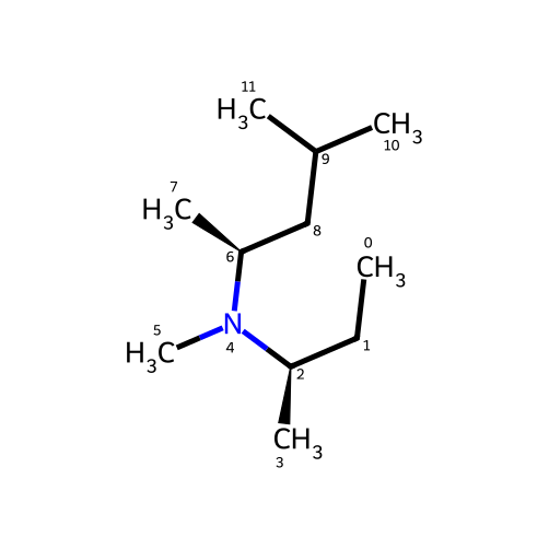 CC[C@@H](C)N(C)[C@@H](C)CC(C)C